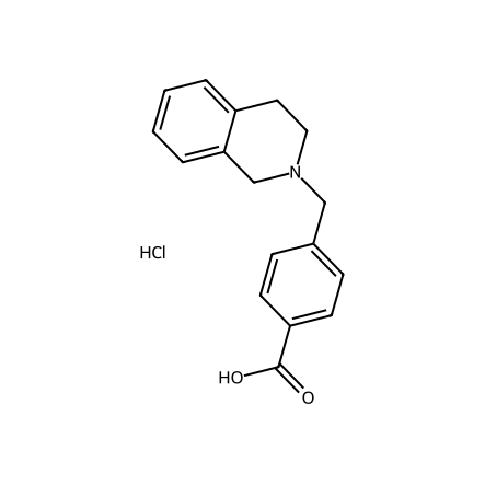 Cl.O=C(O)c1ccc(CN2CCc3ccccc3C2)cc1